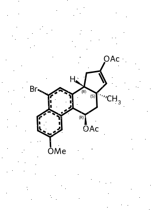 COc1ccc2c(Br)cc3c(c2c1)[C@H](OC(C)=O)C[C@]1(C)C=C(OC(C)=O)C[C@@H]31